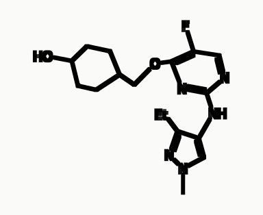 CCc1nn(C)cc1Nc1ncc(F)c(OCC2CCC(O)CC2)n1